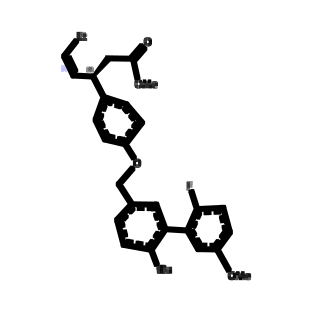 CC/C=C\[C@@H](CC(=O)OC)c1ccc(OCc2ccc(C(C)(C)C)c(-c3cc(OC)ccc3F)c2)cc1